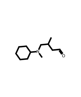 CC(CC=O)CN(C)C1CCCCC1